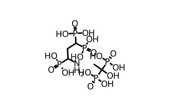 CC(O)(P(=O)(O)O)P(=O)(O)O.NC(CC(P(=O)(O)O)P(=O)(O)O)P(=O)(O)O